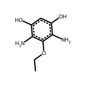 CCOc1c(N)c(O)cc(O)c1N